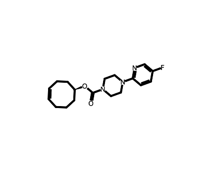 O=C(O[C@@H]1CC/C=C\CCC1)N1CCN(c2ccc(F)cn2)CC1